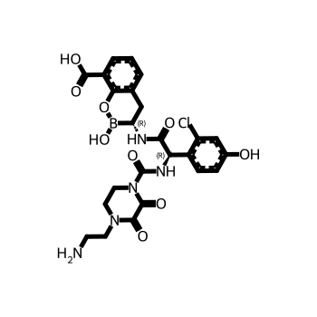 NCCN1CCN(C(=O)N[C@@H](C(=O)N[C@H]2Cc3cccc(C(=O)O)c3OB2O)c2ccc(O)cc2Cl)C(=O)C1=O